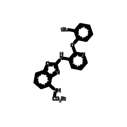 CCOC(=O)Nc1cccc2oc(Nc3cccnc3Oc3ccccc3C(C)(C)C)nc12